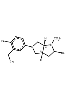 CC(C)(C)C1C[C@@H]2CN(c3cnc(Br)c(CC#N)c3)C[C@@H]2N1C(=O)O